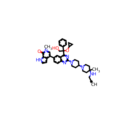 C#CCNC1(C)CCN(C2CCN(c3nc(C(CO)(OC4CC4)c4ccccc4)c4cc(-c5cn(C)c(=O)c6[nH]ccc56)ccc4n3)CC2)CC1